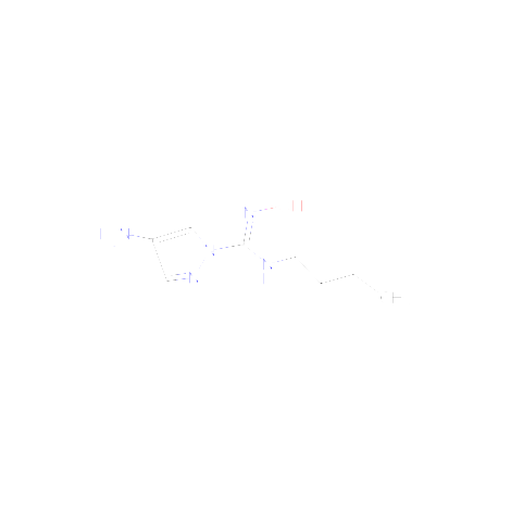 CCCCNC(=NO)n1cc(N)cn1